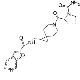 NC(=O)N1CCCC1C(=O)N1CCC2(CC1)CC2CNC(=O)c1cc2ccncc2o1